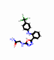 NC(=O)CNc1nnc(-c2ccccc2Nc2ccc(C(F)(F)F)cc2)o1